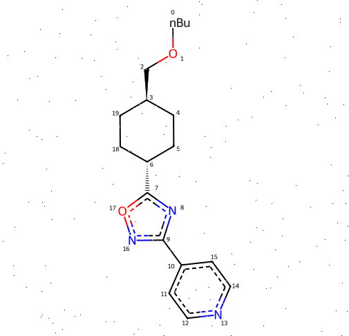 CCCCOC[C@H]1CC[C@H](c2nc(-c3ccncc3)no2)CC1